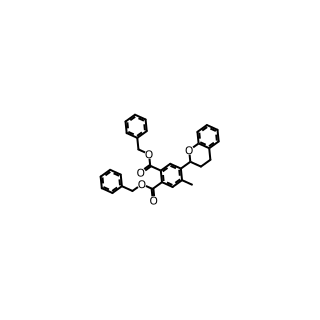 Cc1cc(C(=O)OCc2ccccc2)c(C(=O)OCc2ccccc2)cc1C1CCc2ccccc2O1